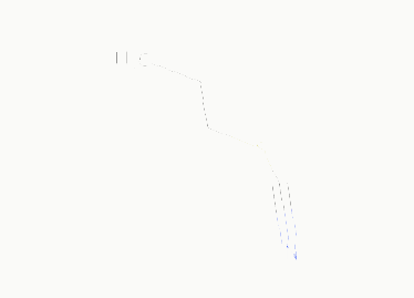 CC[CH]SC#N